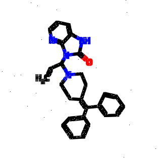 C=CC(N1CCC(=C(c2ccccc2)c2ccccc2)CC1)n1c(=O)[nH]c2cccnc21